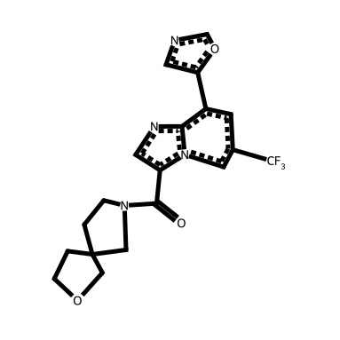 O=C(c1cnc2c(-c3cnco3)cc(C(F)(F)F)cn12)N1CCC2(CCOC2)C1